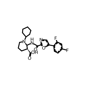 O=C(NC1[C@@H](C(=O)O)CCCN1C1CCCCC1)c1ncc(-c2ccc(F)cc2F)o1